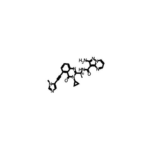 C[C@H](NC(=O)c1c(N)nn2cccnc12)c1nc2cccc(C#Cc3cncn3C)c2c(=O)n1C1CC1